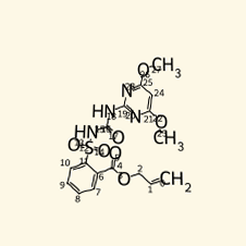 C=CCOC(=O)c1ccccc1S(=O)(=O)NC(=O)Nc1nc(OC)cc(OC)n1